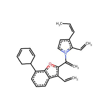 C=Cc1c(C(=C)n2ccc(/C=C\C)c2C=C)oc2c(C3C=CC=CC3)cccc12